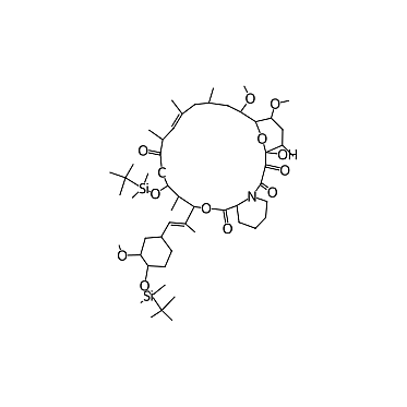 COC1CC(C=C(C)C2OC(=O)C3CCCCN3C(=O)C(=O)C3(O)OC(C(OC)CC(C)C/C(C)=C/C(C)C(=O)CC(O[Si](C)(C)C(C)(C)C)C2C)C(OC)CC3C)CCC1O[Si](C)(C)C(C)(C)C